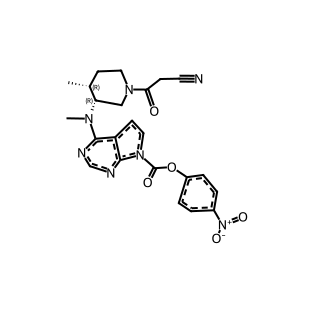 C[C@@H]1CCN(C(=O)CC#N)C[C@@H]1N(C)c1ncnc2c1ccn2C(=O)Oc1ccc([N+](=O)[O-])cc1